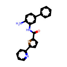 Nc1ccc(-c2ccccc2)cc1NC(=O)c1ccc(-c2ccccn2)s1